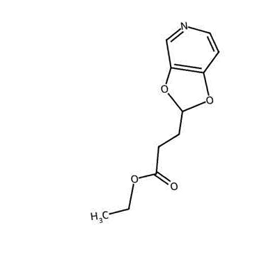 CCOC(=O)CCC1Oc2ccncc2O1